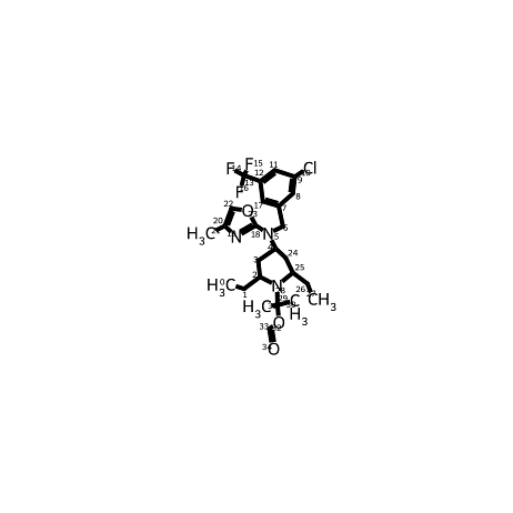 CCC1CC(N(Cc2cc(Cl)cc(C(F)(F)F)c2)c2nc(C)co2)CC(CC)N1C(C)(C)OC=O